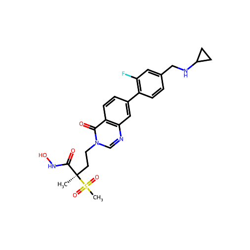 C[C@@](CCn1cnc2cc(-c3ccc(CNC4CC4)cc3F)ccc2c1=O)(C(=O)NO)S(C)(=O)=O